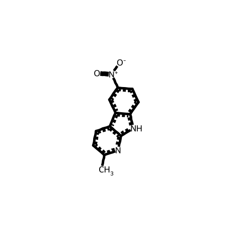 Cc1ccc2c(n1)[nH]c1ccc([N+](=O)[O-])cc12